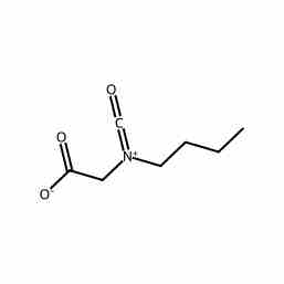 CCCC[N+](=C=O)CC(=O)[O-]